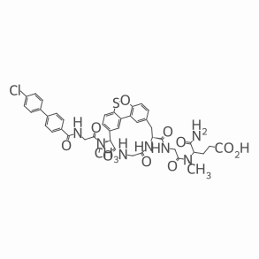 CN(C(=O)CNC(=O)[C@@H]1Cc2ccc3c(c2)-c2cc(ccc2SO3)[C@H](N(C)C(=O)CNC(=O)c2ccc(-c3ccc(Cl)cc3)cc2)C(=O)NCC(=O)N1)C(CCC(=O)O)C(N)=O